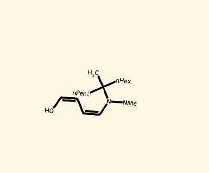 CCCCCCC(C)(CCCCC)N(/C=C\C=C/O)NC